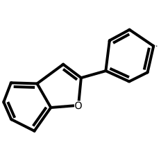 [c]1ccc(-c2cc3ccccc3o2)cc1